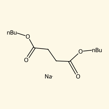 CCCCOC(=O)CCC(=O)OCCCC.[Na]